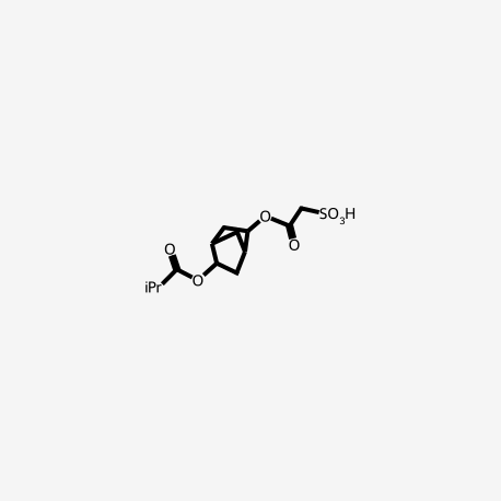 CC(C)C(=O)OC1CC2CC1CC2OC(=O)CS(=O)(=O)O